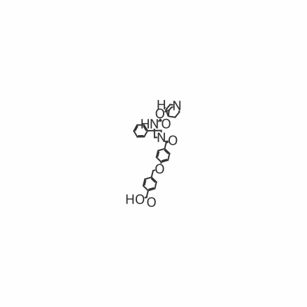 O=C(NC1(c2ccccc2)CN(C(=O)c2ccc(OCc3ccc(C(=O)O)cc3)cc2)C1)O[C@H]1CN2CCC1CC2